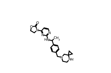 CC(Nc1nccc(N2CCOC2=O)n1)c1ccc(CN2CCNC3(CC3)C2)cc1